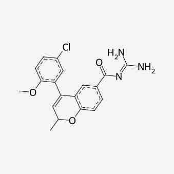 COc1ccc(Cl)cc1C1=CC(C)Oc2ccc(C(=O)N=C(N)N)cc21